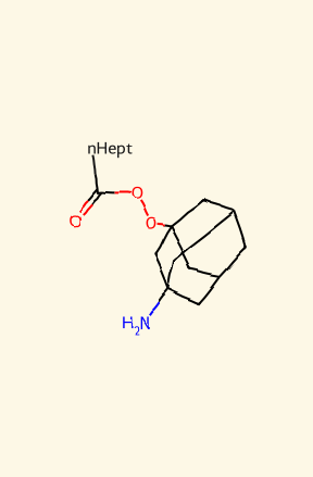 CCCCCCCC(=O)OOC12CC3CC(CC(N)(C3)C1)C2